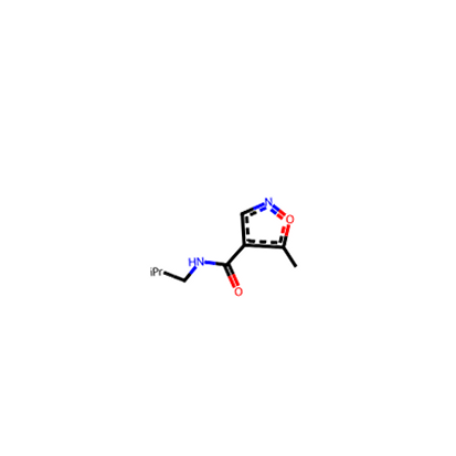 Cc1oncc1C(=O)NCC(C)C